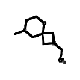 CN1CCOC2(C1)CN(CC(F)(F)F)C2